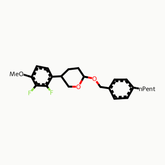 CCCCCc1ccc(COC2CCC(c3ccc(OC)c(F)c3F)CO2)cc1